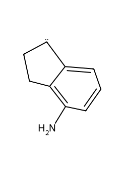 Nc1cccc2c1CC[C]2